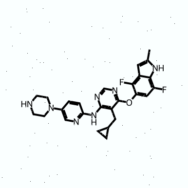 Cc1cc2c(F)c(Oc3ncnc(Nc4ccc(N5CCNCC5)cn4)c3CC3CC3)cc(F)c2[nH]1